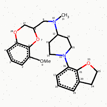 COc1cccc2c1OC(CN(C)C1CCN(c3cccc4c3OCC4)CC1)CO2